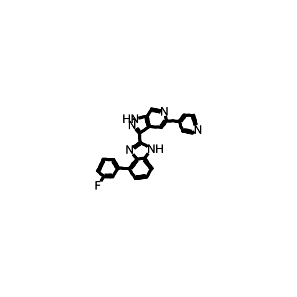 Fc1cccc(-c2cccc3[nH]c(-c4n[nH]c5cnc(-c6ccncc6)cc45)nc23)c1